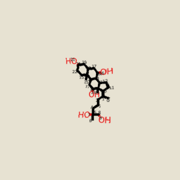 CC(CCCC(C)(O)CO)C1CCC2C3C(O)CC4CC(O)CCC4(C)C3CC(O)C12C